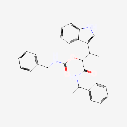 CC(NC(=O)C(OC(=O)NCc1ccccc1)C(C)c1c[nH]c2ccccc12)c1ccccc1